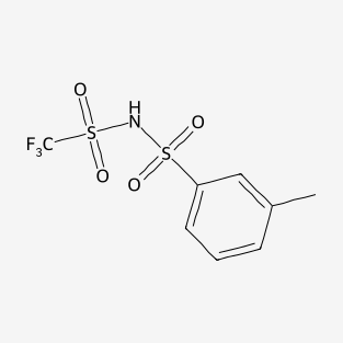 Cc1cccc(S(=O)(=O)NS(=O)(=O)C(F)(F)F)c1